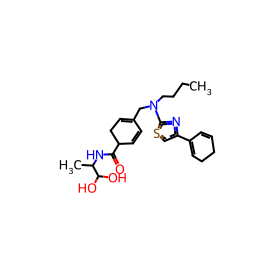 CCCCN(CC1=CCC(C(=O)NC(C)C(O)O)C=C1)c1nc(C2=CCCC=C2)cs1